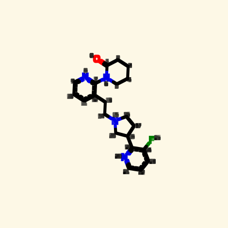 O=C1CCCCN1c1ncccc1CCN1CCC(c2ncccc2F)C1